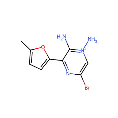 Cc1ccc(-c2nc(Br)c[n+](N)c2N)o1